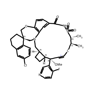 CO[C@@]1(c2cnccc2F)/C=C/C[C@H](C)[C@@H](C)S(=O)(=O)NC(=O)c2ccc3c(c2)N(C[C@@H]2CC[C@H]21)C[C@@]1(CCCc2cc(Cl)ccc21)CO3